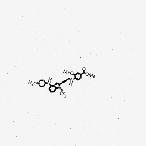 COC(=O)c1ccc(NCC#Cc2cc3c(NC4CCN(C)CC4)cccc3n2CC(F)(F)F)c(OC)c1